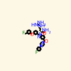 N=C(N)NCCC[C@@H](C(N)=O)n1c(-c2cccc(Oc3cccc(CF)c3)c2)nc2cc(C(=O)N3CCN(c4ccc(F)cc4)CC3)ccc21